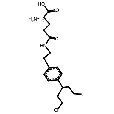 N[C@@H](CCC(=O)NCCc1ccc(C(CCCl)CCCl)cc1)C(=O)O